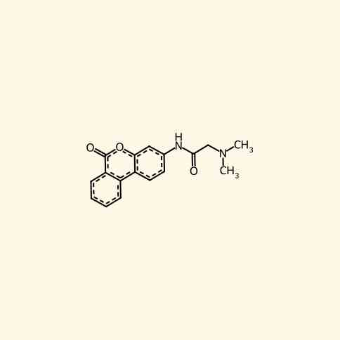 CN(C)CC(=O)Nc1ccc2c(c1)oc(=O)c1ccccc12